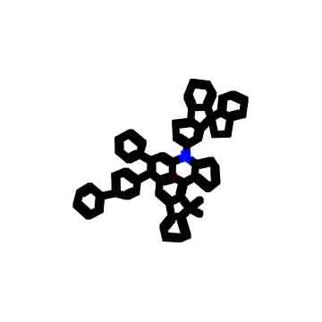 CC1(C)c2ccccc2-c2cccc(-c3ccccc3N(c3ccc(-c4ccc(-c5ccccc5)cc4)c(-c4ccccc4)c3)c3ccc4c(c3)C3(CCc5ccccc53)c3ccccc3-4)c21